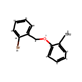 CC(C)(C)c1ccccc1OCc1ccccc1Br